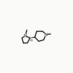 CN1CCC([C@H]2CCCN2C)CC1